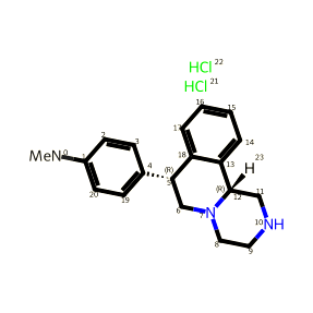 CNc1ccc([C@H]2CN3CCNC[C@H]3c3ccccc32)cc1.Cl.Cl